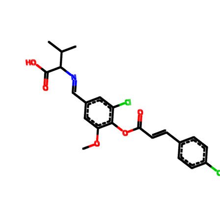 COc1cc(/C=N/C(C(=O)O)C(C)C)cc(Cl)c1OC(=O)/C=C/c1ccc(Cl)cc1